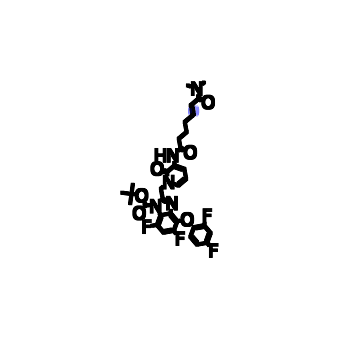 CN(C)C(=O)/C=C/CCCC(=O)Nc1cccn(Cc2nc3c(Oc4ccc(F)cc4F)c(F)cc(F)c3n2C(=O)OC(C)(C)C)c1=O